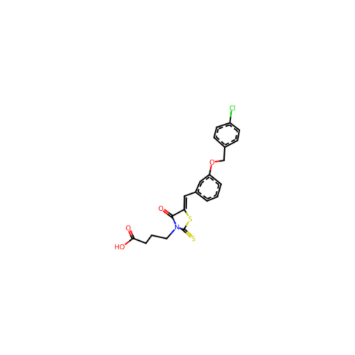 O=C(O)CCCN1C(=O)/C(=C/c2cccc(OCc3ccc(Cl)cc3)c2)SC1=S